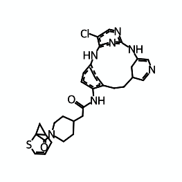 O=C(CC1CCN(C(=O)C23CC2CC=CS3)CC1)Nc1ccc2cc1CCC1C=NC=C(C1)Nc1ncc(Cl)c(n1)N2